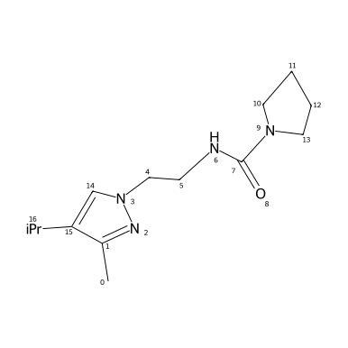 Cc1nn(CCNC(=O)N2CCCC2)cc1C(C)C